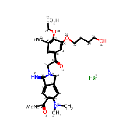 Br.CNC(=O)c1cc2c(cc1N(C)C)CN(CC(=O)c1cc(OCCCCO)c(OCC(=O)O)c(C(C)(C)C)c1)C2=N